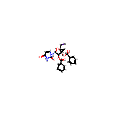 Cn1c(=O)ccn([C@@H]2O[C@@]3(CI)C[C@]3(OC(=O)c3ccccc3)[C@H]2OC(=O)c2ccccc2)c1=O